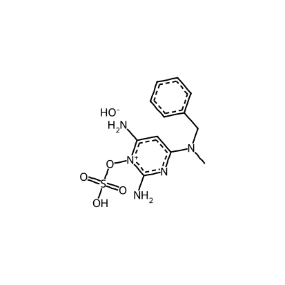 CN(Cc1ccccc1)c1cc(N)[n+](OS(=O)(=O)O)c(N)n1.[OH-]